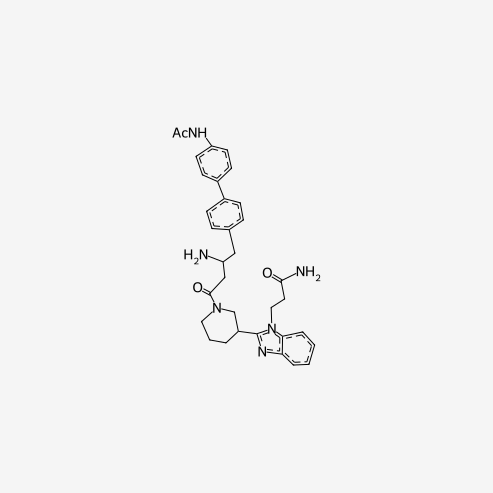 CC(=O)Nc1ccc(-c2ccc(CC(N)CC(=O)N3CCCC(c4nc5ccccc5n4CCC(N)=O)C3)cc2)cc1